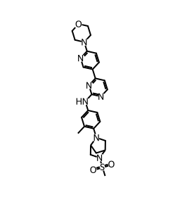 Cc1cc(Nc2nccc(-c3ccc(N4CCOCC4)nc3)n2)ccc1N1CC2CC1CN2S(C)(=O)=O